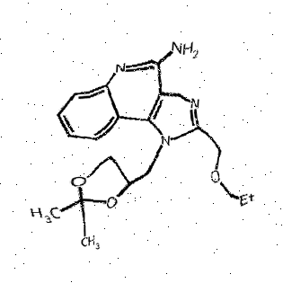 CCOCc1nc2c(N)nc3ccccc3c2n1CC1COC(C)(C)O1